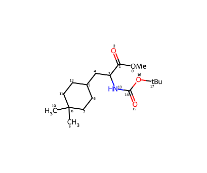 COC(=O)C(CC1CCC(C)(C)CC1)NC(=O)OC(C)(C)C